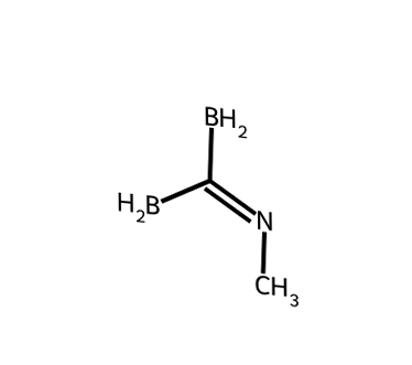 BC(B)=NC